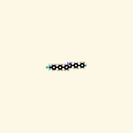 Fc1ccc(-c2ccc(-c3cnc4cc(-c5ccc(-c6ccc(C(F)(F)F)cc6)cc5)ccc4c3)cc2)cc1